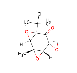 CC(C)(C)[C@@]12O[C@@H]1[C@@]1(C)O[C@H]1[C@@]1(CO1)C2=O